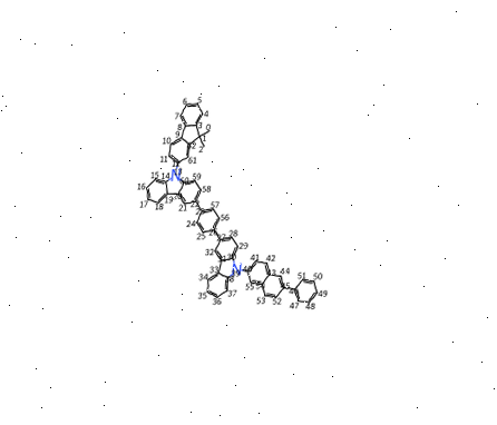 CC1(C)c2ccccc2-c2ccc(-n3c4ccccc4c4cc(-c5ccc(-c6ccc7c(c6)c6ccccc6n7-c6ccc7cc(-c8ccccc8)ccc7c6)cc5)ccc43)cc21